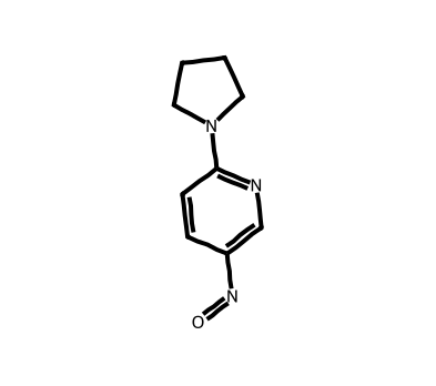 O=Nc1ccc(N2CCCC2)nc1